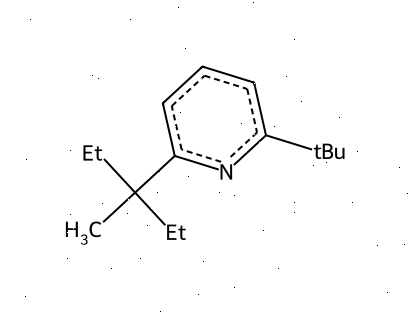 CCC(C)(CC)c1cccc(C(C)(C)C)n1